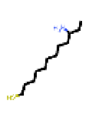 CCC(N)CCCCCCCCCS